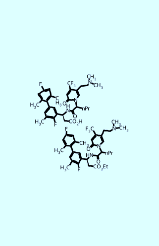 CCCC(C(=O)N[C@@H](CC(=O)O)c1cc(-c2c(C)cc(F)cc2C)cc(C)c1F)n1cc(CCN(C)C)c(C(F)(F)F)cc1=O.CCCC(C(=O)N[C@@H](CC(=O)OCC)c1cc(-c2c(C)cc(F)cc2C)cc(C)c1F)n1cc(CCN(C)C)c(C(F)(F)F)cc1=O